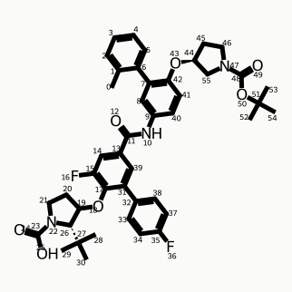 Cc1ccccc1-c1cc(NC(=O)c2cc(F)c(OC3CCN(C(=O)O)[C@H]3C(C)(C)C)c(-c3ccc(F)cc3)c2)ccc1O[C@H]1CCN(C(=O)OC(C)(C)C)C1